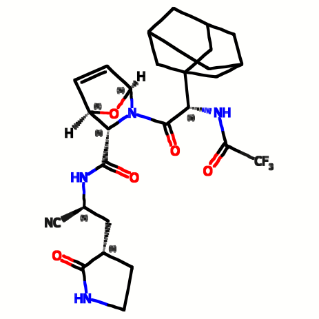 N#C[C@H](C[C@@H]1CCNC1=O)NC(=O)[C@@H]1[C@H]2C=C[C@H](O2)N1C(=O)[C@@H](NC(=O)C(F)(F)F)C12CC3CC(CC(C3)C1)C2